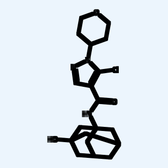 O=C(NC12CC3CC(CC(O)(C3)C1)C2)c1cnn(C2CCOCC2)c1Cl